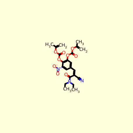 C=C(C)OC(=O)Oc1cc(C=C(C#N)C(=O)N(CC)CC)cc([N+](=O)[O-])c1OC(=O)OC(=C)C